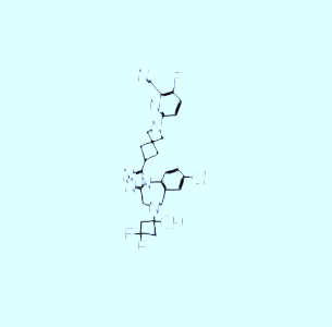 CC1(N2Cc3cc(Cl)ccc3-n3c(nnc3C3CC4(C3)CN(c3ccc(F)c(C#N)n3)C4)C2)CC(F)(F)C1